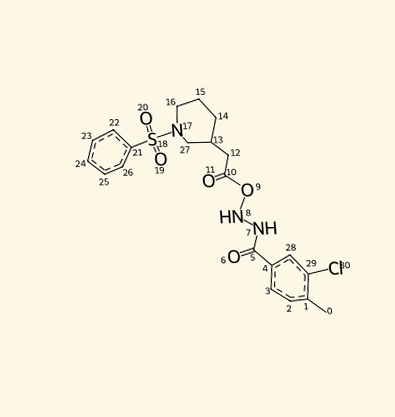 Cc1ccc(C(=O)NNOC(=O)CC2CCCN(S(=O)(=O)c3ccccc3)C2)cc1Cl